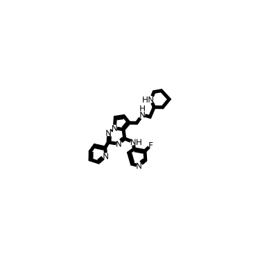 Fc1cnccc1Nc1nc(-c2ccccn2)nn2ccc(CNCC3CCCCN3)c12